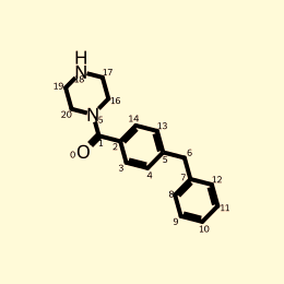 O=C(c1ccc(Cc2ccccc2)cc1)N1CCNCC1